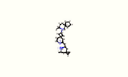 CC1CC2(CC2)CC(CC2CC3(CCN2)CC(N2CC4(CCCC4)CCC2C)C3)N1